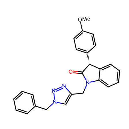 COc1ccc([C@H]2C(=O)N(Cc3cn(Cc4ccccc4)nn3)c3ccccc32)cc1